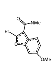 CCc1oc2cc(OC)ccc2c1C(=O)NC